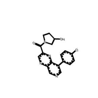 O=C(c1cnc2cncc(-c3ccc(Cl)cc3)c2n1)N1CCC(O)C1